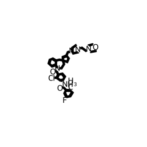 Cc1ccc(F)cc1C(=O)Nc1ccc(C(=O)N2CCC3(C=C(CN4CCN(CCN5CCOCC5)CC4)CC3)Cc3ccccc32)c(Cl)c1